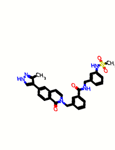 Cc1n[nH]cc1-c1ccc2c(=O)n(Cc3cccc(C(=O)NCc4cccc(NS(C)(=O)=O)c4)c3)ccc2c1